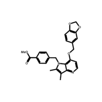 COC(=O)c1ccc(Cn2c(C)c(C)c3nccc(OCc4ccc5c(c4)OCO5)c32)cc1